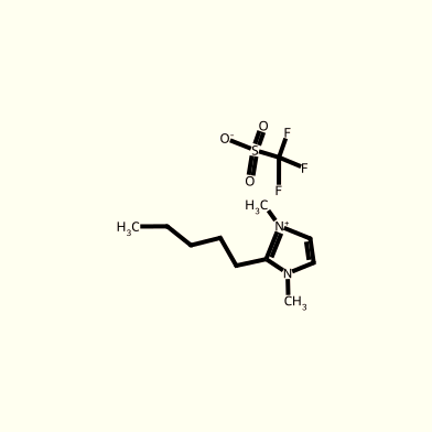 CCCCCc1n(C)cc[n+]1C.O=S(=O)([O-])C(F)(F)F